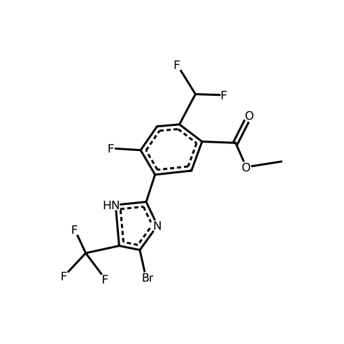 COC(=O)c1cc(-c2nc(Br)c(C(F)(F)F)[nH]2)c(F)cc1C(F)F